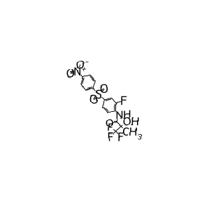 CC(O)(C(=O)Nc1ccc(S(=O)(=O)c2ccc([N+](=O)[O-])cc2)cc1F)C(F)(F)F